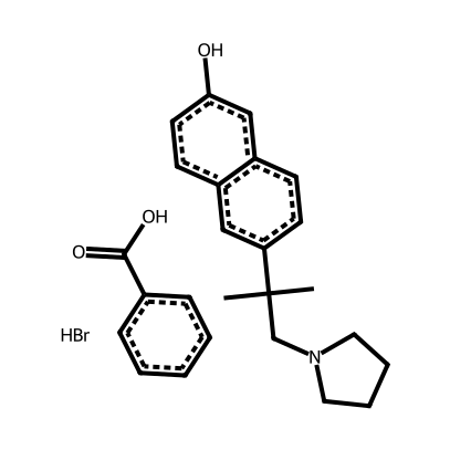 Br.CC(C)(CN1CCCC1)c1ccc2cc(O)ccc2c1.O=C(O)c1ccccc1